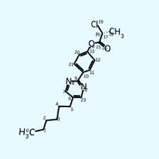 CCCCCCc1cnc(-c2ccc(OC(=O)[C@@H](C)Cl)cc2)nc1